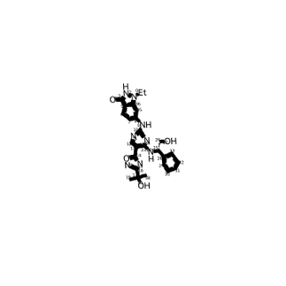 CCn1[nH]c(=O)c2ccc(Nc3ncc(-c4nc(C(C)(C)O)no4)c(N[C@H](CO)c4ccccc4)n3)cc21